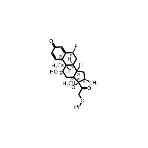 CC(C)OCC(=O)[C@@]1(O)[C@H](C)C[C@H]2[C@@H]3C[C@H](F)C4=CC(=O)C=C[C@]4(C)[C@@]3(F)[C@@H](O)C[C@@]21C